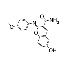 COc1ccc(/N=c2\oc3ccc(O)cc3cc2C(N)=O)cc1